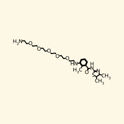 Cc1c(NCCOCCOCCOCCOCCOCCN)cccc1C(=O)NC1=NC(C)C(C)S1